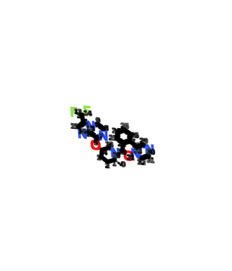 C[C@@H]1CC[C@@H](Oc2nccn3c(C(F)F)cnc23)CN1C(=O)c1ccccc1-c1cnccn1